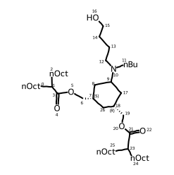 CCCCCCCCC(CCCCCCCC)C(=O)OC[C@@H]1CC(N(CCCC)CCCCO)C[C@H](COC(=O)C(CCCCCCCC)CCCCCCCC)C1